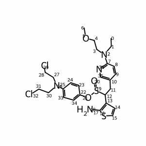 CCN(CCOC)c1ccc(CC(c2ccsc2N)S(=O)Oc2ccc(N(CCCl)CCCl)cc2)cn1